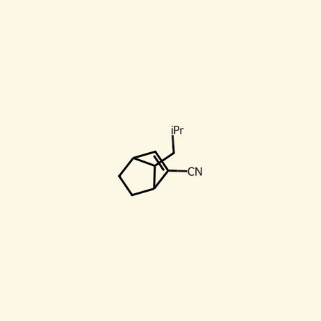 CC(C)CC1C2C=C(C#N)C1CC2